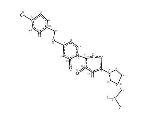 CN(C)C[C@H]1CCN(c2ccc(-n3ccc(OCc4ccc(Cl)cn4)cc3=O)c(=O)[nH]2)C1